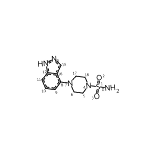 NS(=O)(=O)N1CCN(c2cccc3[nH]ncc23)CC1